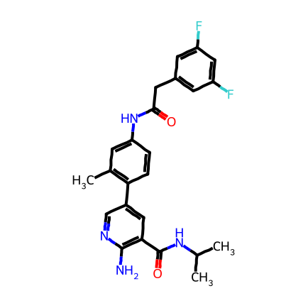 Cc1cc(NC(=O)Cc2cc(F)cc(F)c2)ccc1-c1cnc(N)c(C(=O)NC(C)C)c1